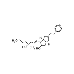 CCCC[C@](C)(O)C/C=C/[C@@H]1[C@H]2CC(CCc3ccncc3)=C[C@H]2C[C@H]1O